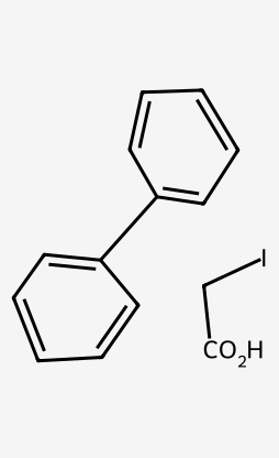 O=C(O)CI.c1ccc(-c2ccccc2)cc1